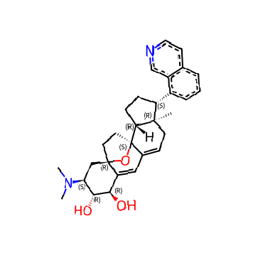 CN(C)[C@H]1C[C@@]23CC[C@@]4(O2)C(=CC[C@]2(C)[C@@H](c5cccc6ccncc56)CC[C@H]24)C=C3[C@@H](O)[C@@H]1O